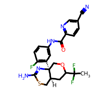 CC(F)(F)C1C[C@H]2CSC(N)=N[C@@]2(c2cc(NC(=O)c3ccc(C#N)cn3)ccc2F)CO1